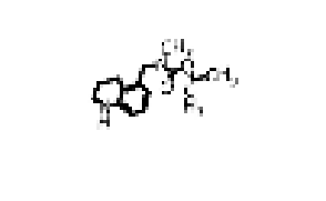 CC(C)OC(=O)N(C)Cc1cccc2c1CCCN2